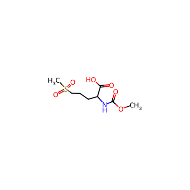 COC(=O)NC(CCCS(C)(=O)=O)C(=O)O